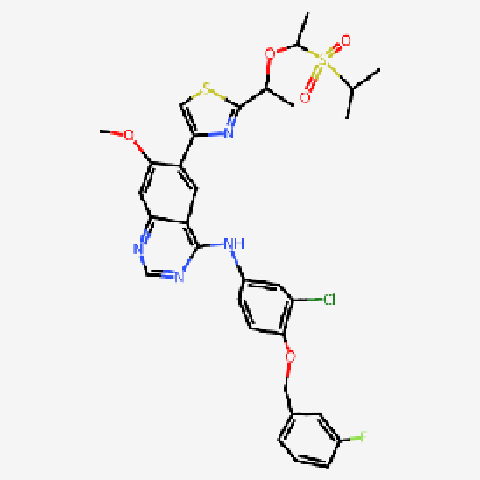 COc1cc2ncnc(Nc3ccc(OCc4cccc(F)c4)c(Cl)c3)c2cc1-c1csc(C(C)OC(C)S(=O)(=O)C(C)C)n1